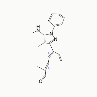 C=C/C(=C\C=C(/C)C=O)c1nn(-c2ccccc2)c(NC)c1C